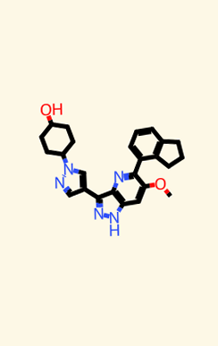 COc1cc2[nH]nc(-c3cnn(C4CCC(O)CC4)c3)c2nc1-c1cccc2c1CCC2